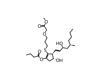 CCCC[C@@H](C)C[C@H](O)/C=C/[C@@H]1C(SCCCOCC(=O)OC)=C(OC(=O)CCC)C[C@H]1O